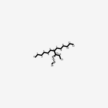 CCCCCCC(CCCCCC)C(CC)SSC